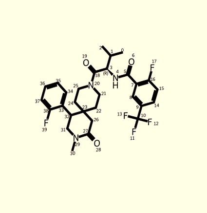 CC(C)[C@@H](NC(=O)c1cc(C(F)(F)F)ccc1F)C(=O)N1CCC2(CC1)CC(=O)N(C)CC2c1ccccc1F